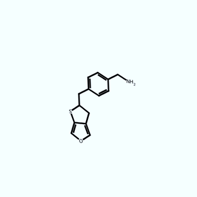 NCc1ccc(CC2Cc3cocc3S2)cc1